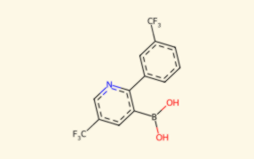 OB(O)c1cc(C(F)(F)F)cnc1-c1cccc(C(F)(F)F)c1